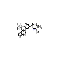 CC(Nc1ncnc2sccc12)c1ccc(N(N)/C=C(\N)C2CC2)cn1